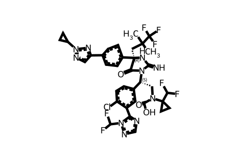 CC(C)(C[C@]1(c2ccc(-c3cnn(C4CC4)n3)cc2)NC(=N)N([C@H](CN(C(=O)O)C2(C(F)F)CC2)c2ccc(Cl)c(-c3ncnn3C(F)F)c2)C1=O)C(F)(F)F